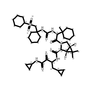 CC1([C@H](NC(=O)NC2(CS(=O)(=O)C3CCCCC3)CCCCC2)C(=O)N2C[C@H]3[C@@H]([C@H]2C(=O)NC(CC2CC2)C(=O)C(=O)NC2CC2)C3(C)C)CCCCC1